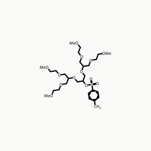 COCCOCC(COCCOC)OCC(COC(COCCOC)COCCOC)OS(=O)(=O)c1ccc(C)cc1